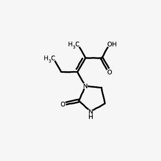 CCC(=C(C)C(=O)O)N1CCNC1=O